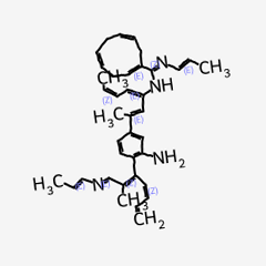 C=C\C=C/C(=C(C)/C=N/C=C/C)c1ccc(/C(C)=C/C(=C\C=C/C)NC(=N\C=C\C)/C2=C/CC=CCC=CC2)cc1N